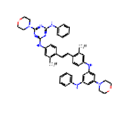 O=S(=O)(O)c1cc(Nc2cc(Nc3ccccc3)cc(N3CCOCC3)c2)ccc1C=Cc1ccc(Nc2nc(Nc3ccccc3)nc(N3CCOCC3)n2)cc1S(=O)(=O)O